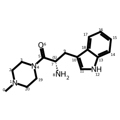 CN1CCN(C(=O)[C@@H](N)Cc2c[nH]c3ccccc23)CC1